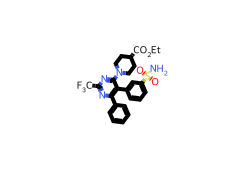 CCOC(=O)C1CCN(c2nc(C(F)(F)F)nc(-c3ccccc3)c2-c2cccc(S(N)(=O)=O)c2)CC1